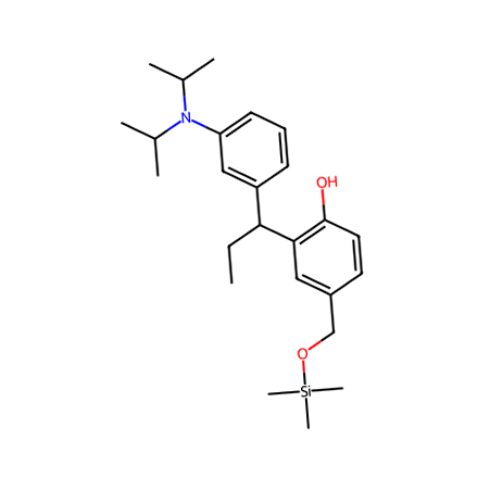 CCC(c1cccc(N(C(C)C)C(C)C)c1)c1cc(CO[Si](C)(C)C)ccc1O